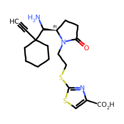 C#CC1(C(N)[C@H]2CCC(=O)N2CCSc2nc(C(=O)O)cs2)CCCCC1